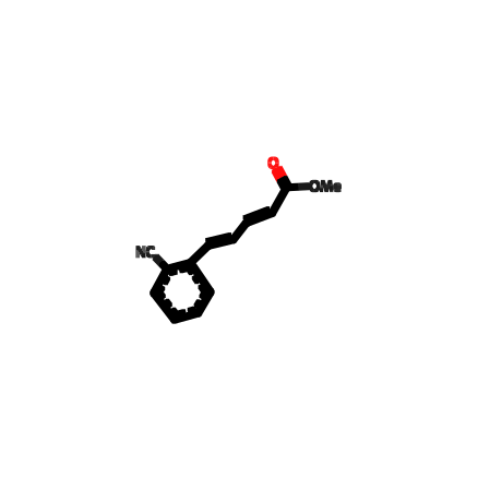 COC(=O)C=CC=Cc1ccccc1C#N